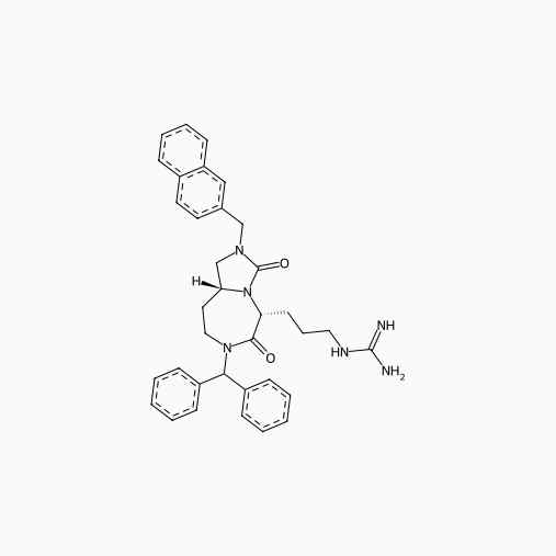 N=C(N)NCCC[C@@H]1C(=O)N(C(c2ccccc2)c2ccccc2)CC[C@@H]2CN(Cc3ccc4ccccc4c3)C(=O)N21